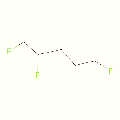 F[CH]CCC(F)CF